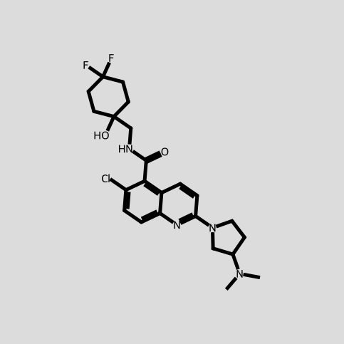 CN(C)C1CCN(c2ccc3c(C(=O)NCC4(O)CCC(F)(F)CC4)c(Cl)ccc3n2)C1